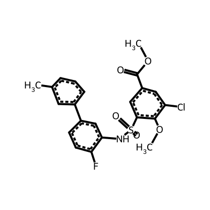 COC(=O)c1cc(Cl)c(OC)c(S(=O)(=O)Nc2cc(-c3cccc(C)c3)ccc2F)c1